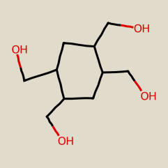 OCC1CC(CO)C(CO)CC1CO